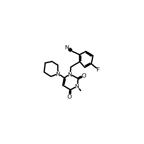 Cn1c(=O)cc(N2CCCCC2)n(Cc2cc(F)ccc2C#N)c1=O